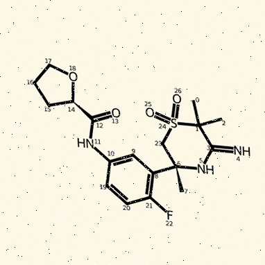 CC1(C)C(=N)N[C@](C)(c2cc(NC(=O)[C@H]3CCCO3)ccc2F)CS1(=O)=O